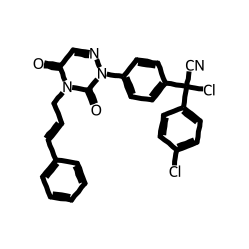 N#CC(Cl)(c1ccc(Cl)cc1)c1ccc(-n2ncc(=O)n(CC=Cc3ccccc3)c2=O)cc1